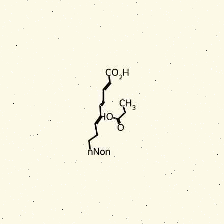 CCC(=O)O.CCCCCCCCCCCC=CC=CC=CC(=O)O